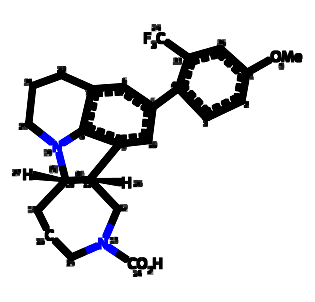 COc1ccc(-c2cc3c4c(c2)[C@@H]2CN(C(=O)O)CCC[C@@H]2N4CCC3)c(C(F)(F)F)c1